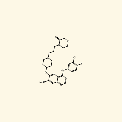 COc1cc2ncnc(Nc3ccc(F)c(Cl)c3)c2cc1OC1CCN(CCCN2CCOCC2=O)CC1